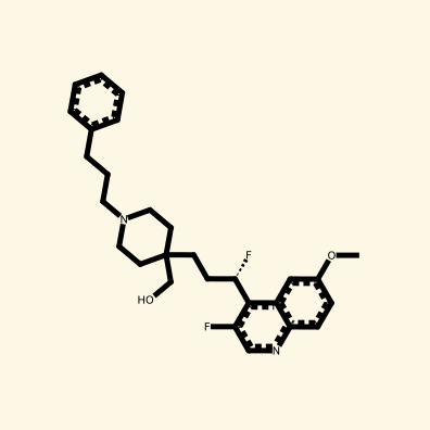 COc1ccc2ncc(F)c([C@@H](F)CCC3(CO)CCN(CCCc4ccccc4)CC3)c2c1